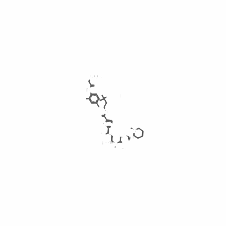 CCCCCCN(C(=O)[C@@H](NC(=O)[C@H]1CCCCN1C)[C@@H](C)CC)[C@H](C[C@@H](OCC)c1nc(C(=O)N[C@@H](Cc2ccc(NC(=O)CNC)c(F)c2)CC(C)(C)C(=O)O)cs1)C(C)C